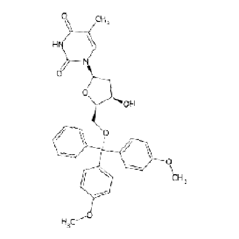 COc1ccc(C(OC[C@H]2O[C@@H](n3cc(C)c(=O)[nH]c3=O)C[C@H]2O)(c2ccccc2)c2ccc(OC)cc2)cc1